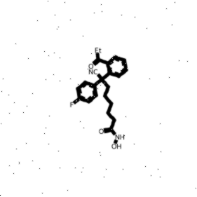 CCC(=O)c1ccccc1C(C#N)(CCCCCC(=O)NO)c1ccc(F)cc1